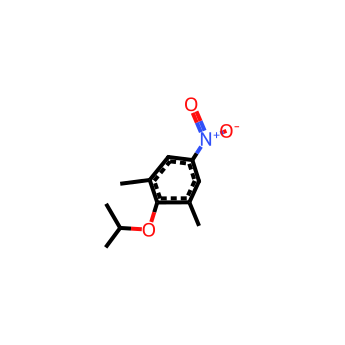 Cc1cc([N+](=O)[O-])cc(C)c1OC(C)C